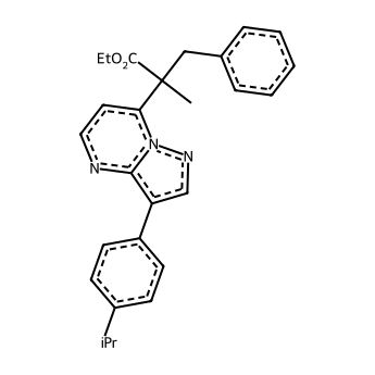 CCOC(=O)C(C)(Cc1ccccc1)c1ccnc2c(-c3ccc(C(C)C)cc3)cnn12